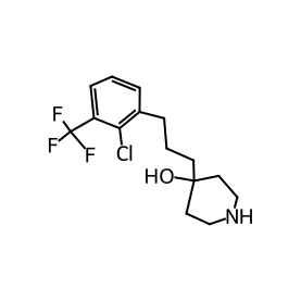 OC1(CCCc2cccc(C(F)(F)F)c2Cl)CCNCC1